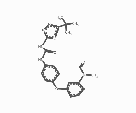 CN(C=O)c1cccc(Oc2ccc(NC(=O)Nc3nnc(C(C)(C)C)o3)cc2)c1